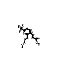 COCCCc1nc(C(F)(F)F)ccc1/C=C/C(=O)OC